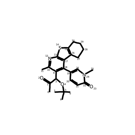 CC(=O)C(OC(C)(C)C)c1c(C)nc2sc3c(c2c1-c1ccc(=O)n(C)c1)CCCC3